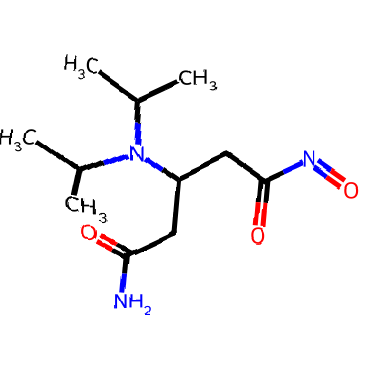 CC(C)N(C(C)C)C(CC(N)=O)CC(=O)N=O